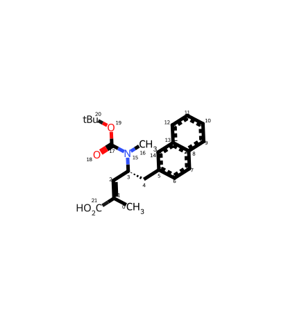 CC(=C[C@@H](Cc1ccc2ccccc2c1)N(C)C(=O)OC(C)(C)C)C(=O)O